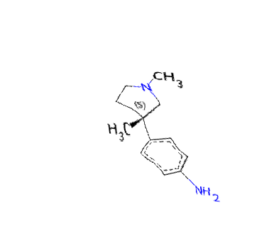 CN1CC[C@@](C)(c2ccc(N)cc2)C1